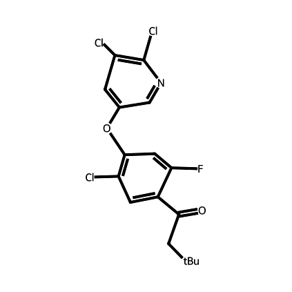 CC(C)(C)CC(=O)c1cc(Cl)c(Oc2cnc(Cl)c(Cl)c2)cc1F